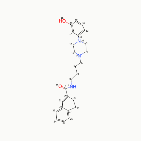 O=C(NCCCCN1CCN(c2cccc(O)c2)CC1)C1=Cc2ccccc2CC1